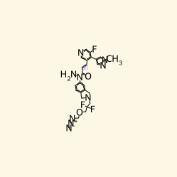 Cn1cc(-c2c(F)cncc2/C=C/C(=O)N(N)c2ccc3c(c2)CN(CC(F)(F)COCN=[N+]=[N-])C3)cn1